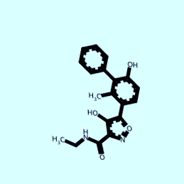 CCNC(=O)c1noc(-c2ccc(O)c(-c3ccccc3)c2C)c1O